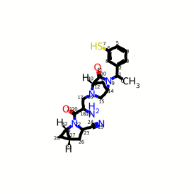 CC(c1cccc(S)c1)N1C(=O)[C@@H]2CC1CN2CC(N)C(=O)N1C(C#N)C[C@@H]2C[C@@H]21